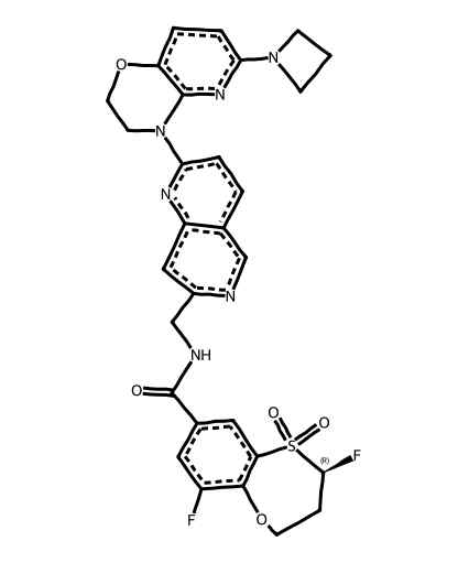 O=C(NCc1cc2nc(N3CCOc4ccc(N5CCC5)nc43)ccc2cn1)c1cc(F)c2c(c1)S(=O)(=O)[C@@H](F)CCO2